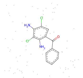 Nc1c(Cl)cc(C(=O)c2ccccc2)c(N)c1Cl